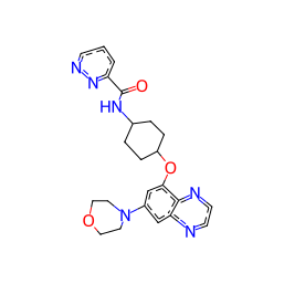 O=C(NC1CCC(Oc2cc(N3CCOCC3)cc3nccnc23)CC1)c1cccnn1